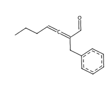 CCCC=C=C(C=O)Cc1ccccc1